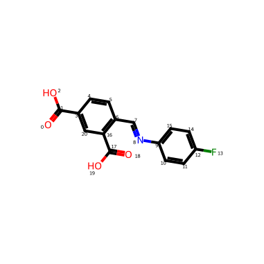 O=C(O)c1ccc(/C=N/c2ccc(F)cc2)c(C(=O)O)c1